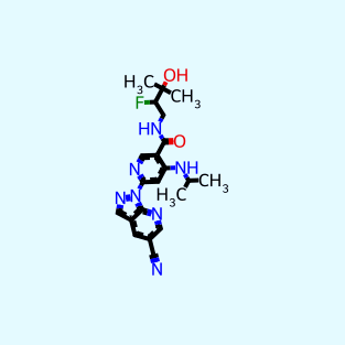 CC(C)Nc1cc(-n2ncc3cc(C#N)cnc32)ncc1C(=O)NCC(F)C(C)(C)O